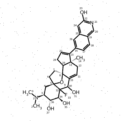 CN(C)[C@H]1C[C@@]23CC[C@@]4(O2)C(=CC[C@]2(C)C(c5ccc6cnc(O)cc6c5)=CCC24)C(O)C3(F)[C@@H](O)[C@@H]1O